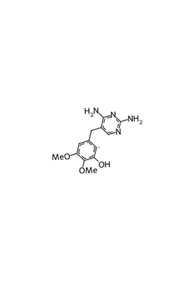 COc1cc(Cc2cnc(N)nc2N)[c]c(O)c1OC